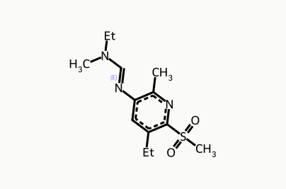 CCc1cc(/N=C/N(C)CC)c(C)nc1S(C)(=O)=O